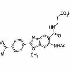 CC(=O)Nc1cc2c(cc1C(=O)NCCC(=O)O)nc(-c1ccc(C(=N)N)cc1)n2C